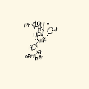 CCCN(CCC)C(=O)c1cncc(C(=O)N[C@@H](Cc2cc(F)cc(F)c2)[C@H](O)CN[C@@H](C)C(=O)NCC(C)C)c1